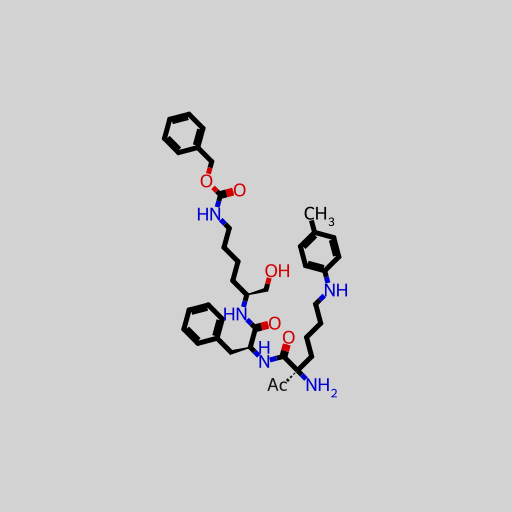 CC(=O)[C@@](N)(CCCCNc1ccc(C)cc1)C(=O)N[C@@H](Cc1ccccc1)C(=O)N[C@H](CO)CCCCNC(=O)OCc1ccccc1